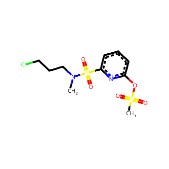 CN(CCCCl)S(=O)(=O)c1cccc(OS(C)(=O)=O)n1